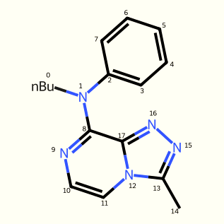 CCCCN(c1ccccc1)c1nccn2c(C)nnc12